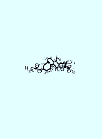 COC(=O)[C@@H](C)[C@H]1CCC2C3CCC4C[C@H](OC(C)=O)CC[C@]4(C)C3=CC[C@@]21C